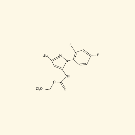 CC(C)(C)c1cc(NC(=O)OCC(Cl)(Cl)Cl)n(-c2ccc(F)cc2F)n1